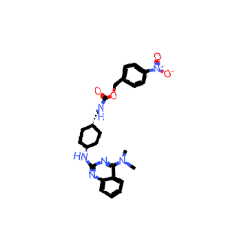 CN(C)c1nc(N[C@H]2CC[C@@H](CNC(=O)OCc3ccc([N+](=O)[O-])cc3)CC2)nc2ccccc12